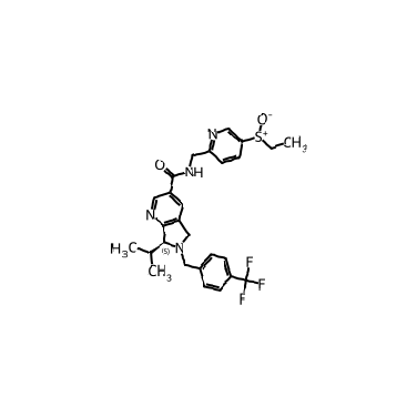 CC[S+]([O-])c1ccc(CNC(=O)c2cnc3c(c2)CN(Cc2ccc(C(F)(F)F)cc2)[C@H]3C(C)C)nc1